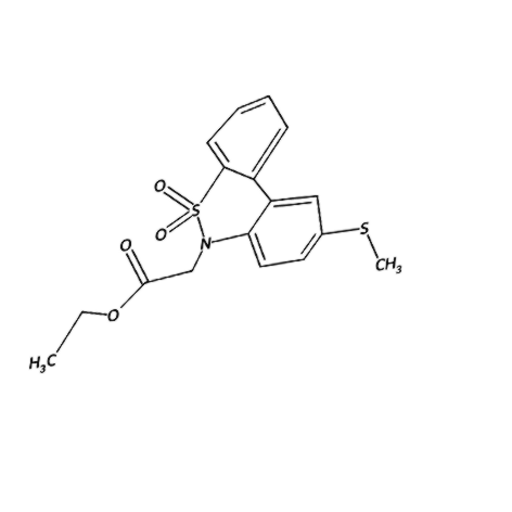 CCOC(=O)CN1c2ccc(SC)cc2-c2ccccc2S1(=O)=O